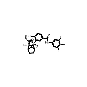 COC(=O)[C@@]1(O)CC2CCC1[C@@H]2S(=O)(=O)c1cc(C(=O)Nc2cc(F)c(F)c(F)c2)ccc1Cl